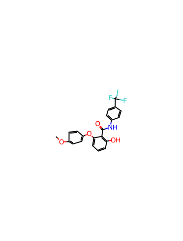 COc1ccc(Oc2cccc(O)c2C(=O)Nc2ccc(C(F)(F)F)cc2)cc1